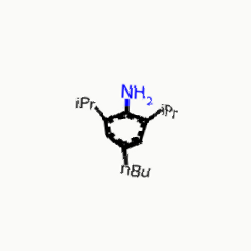 CCCCc1cc(C(C)C)c(N)c(C(C)C)c1